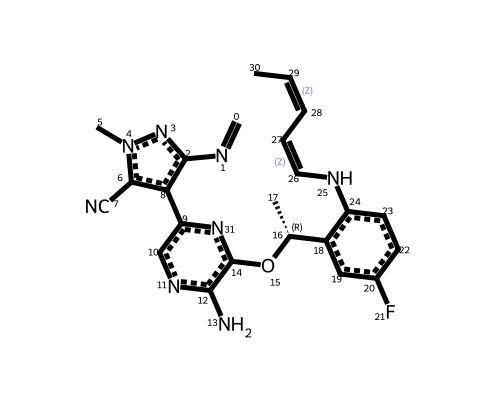 C=Nc1nn(C)c(C#N)c1-c1cnc(N)c(O[C@H](C)c2cc(F)ccc2N/C=C\C=C/C)n1